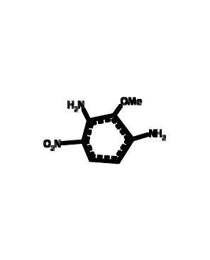 COc1c(N)ccc([N+](=O)[O-])c1N